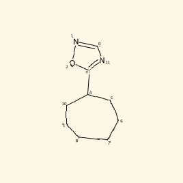 [c]1noc(C2CCCCCC2)n1